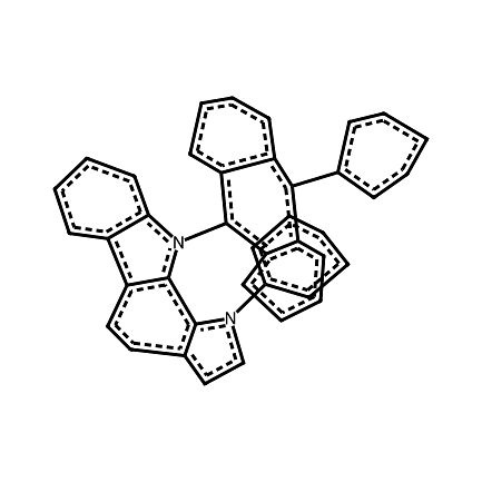 c1ccc(-c2c3ccccc3c(-n3c4ccccc4c4ccc5ccn(-c6ccccc6)c5c43)c3ccccc23)cc1